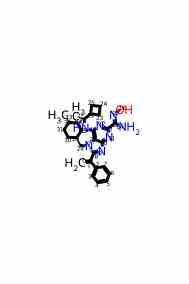 C=C(c1ccccc1)c1nc2nc(/C(N)=N/O)nc(N[C@H](C)C3CCC3)c2n1C[C@H]1CC[C@H](C)CC1